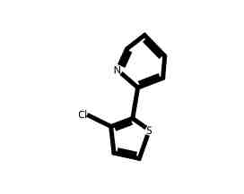 Clc1ccsc1-c1ccccn1